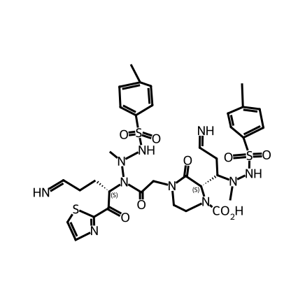 Cc1ccc(S(=O)(=O)NN(C)C(CC=N)[C@H]2C(=O)N(CC(=O)N([C@@H](CCC=N)C(=O)c3nccs3)N(C)NS(=O)(=O)c3ccc(C)cc3)CCN2C(=O)O)cc1